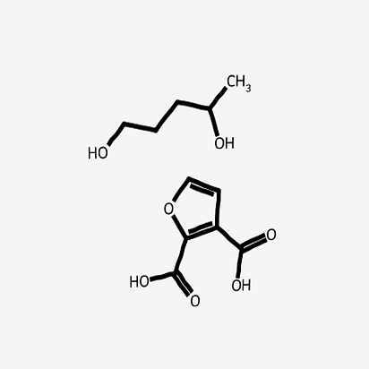 CC(O)CCCO.O=C(O)c1ccoc1C(=O)O